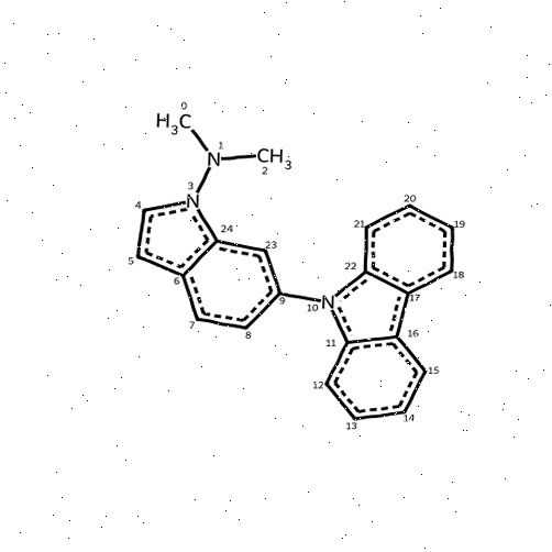 CN(C)n1ccc2ccc(-n3c4ccccc4c4ccccc43)cc21